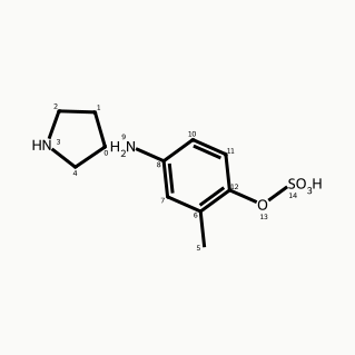 C1CCNC1.Cc1cc(N)ccc1OS(=O)(=O)O